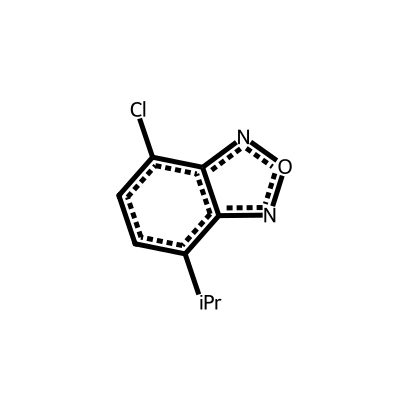 CC(C)c1ccc(Cl)c2nonc12